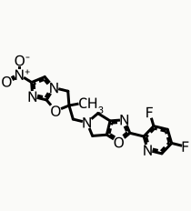 CC1(CN2Cc3nc(-c4ncc(F)cc4F)oc3C2)Cn2cc([N+](=O)[O-])nc2O1